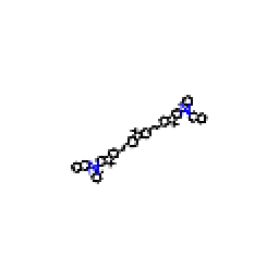 Cc1ccccc1N(c1ccc2c(c1)C(C)(C)C1=CC(/C=C/c3ccc4c(c3)C(C)(C)c3cc(/C=C/c5ccc6c(c5)C(C)(C)c5cc(N(c7ccc8ccccc8c7)c7ccccc7C)ccc5-6)ccc3-4)CC=C12)c1ccc2ccccc2c1